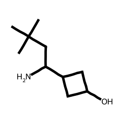 CC(C)(C)CC(N)C1CC(O)C1